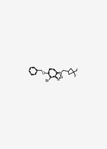 FC1(F)CC(Cn2nnc3c(Br)c(OCc4ccccc4)ccc32)C1